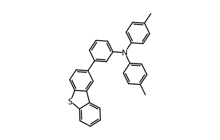 Cc1ccc(N(c2ccc(C)cc2)c2cccc(-c3ccc4sc5ccccc5c4c3)c2)cc1